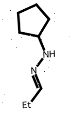 [CH2]CC=NNC1CCCC1